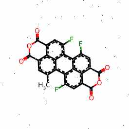 Cc1cc2c3c(cc(F)c4c5c(F)cc6c7c(cc(F)c(c1c34)c75)C(=O)OC6=O)C(=O)OC2=O